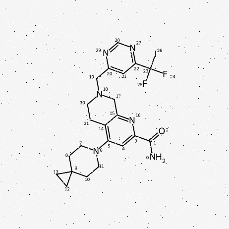 NC(=O)c1cc(N2CCC3(CC2)CC3)c2c(n1)CN(Cc1cc(C(F)(F)I)ncn1)CC2